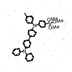 CO[Si](OC)(OC)c1ccc(N(c2ccc(C)cc2)c2ccc(-c3ccc(N(c4ccccc4)c4ccccc4)cc3)cc2)cc1